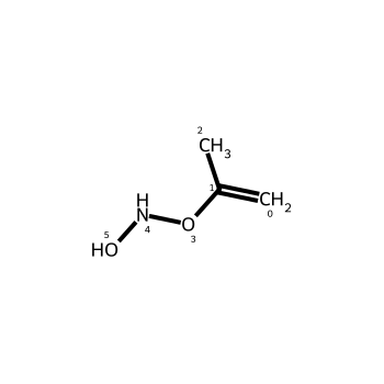 C=C(C)ONO